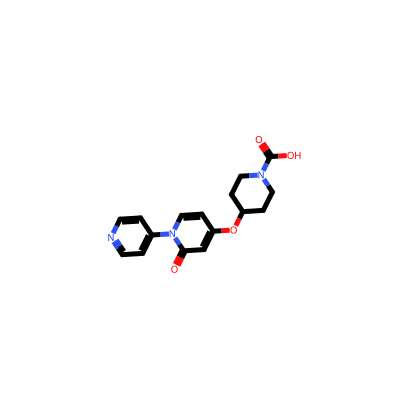 O=C(O)N1CCC(Oc2ccn(-c3ccncc3)c(=O)c2)CC1